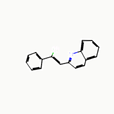 ClC(=Cc1ccc2ccccc2n1)c1ccccc1